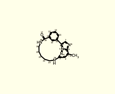 Cc1cc2nn3c(cnc13)-c1cccc(c1)C(=O)NCCCCCN2